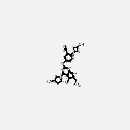 CCc1[nH]c2nc(Sc3cnc(N4CC(O)C4)c(C#N)c3)nc(N3CCC(N)C3)c2c1Cl